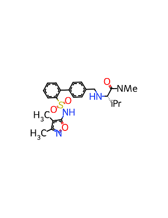 CNC(=O)[C@@H](NCc1ccc(-c2ccccc2S(=O)(=O)Nc2onc(C)c2C)cc1)C(C)C